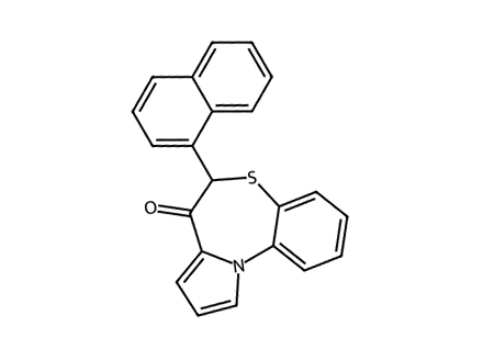 O=C1c2cccn2-c2ccccc2SC1c1cccc2ccccc12